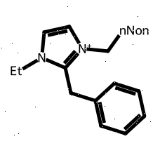 CCCCCCCCCC[n+]1ccn(CC)c1Cc1ccccc1